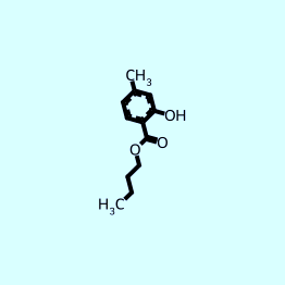 CCCCOC(=O)c1ccc(C)cc1O